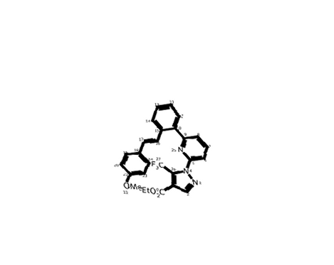 CCOC(=O)c1cnn(-c2cccc(-c3ccccc3C=Cc3ccc(OC)cc3)n2)c1C(F)(F)F